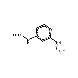 CCOC(=O)Nc1cccc(NC(=O)OCC)c1